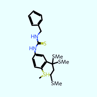 CSC1CC(SC)(SC)c2cc(NC(=S)NCc3ccccc3)ccc2[SH]1C